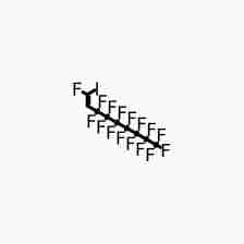 FC(I)=CC(F)(F)C(F)(F)C(F)(F)C(F)(F)C(F)(F)C(F)(F)C(F)(F)F